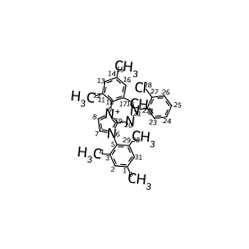 Cc1cc(C)c(-n2cc[n+](-c3c(C)cc(C)cc3C)c2N=Nc2ccccc2Cl)c(C)c1